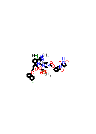 Cc1nn(C)c(C)c1-c1c(Cl)ccc2c(CCCOc3cccc4cc(F)ccc34)c(C(=O)OCCS(C)(=O)=O)n(CCN3CCN(C(=O)COc4cccc5c4CN(C4CCC(=O)NC4=O)C5=O)CC3)c12